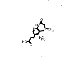 CN1CC(=O)Nc2ncc(C=CC(=O)O)cc2C1.Cl.Cl